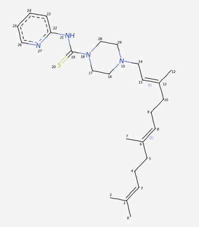 CC(C)=CCC/C(C)=C/CC/C(C)=C/CN1CCN(C(=S)Nc2ccccn2)CC1